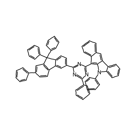 c1ccc(-c2ccc3c(c2)C(c2ccccc2)(c2ccccc2)c2ccc(-c4nc(-c5ccccc5)nc(-c5c6ccccc6cc6c7ccccc7n(-c7ccccc7)c56)n4)cc2-3)cc1